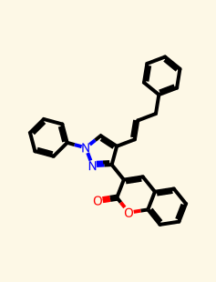 O=c1oc2ccccc2cc1-c1nn(-c2ccccc2)cc1/C=C/Cc1ccccc1